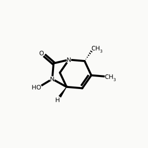 CC1=C[C@H]2CN(C(=O)N2O)[C@@H]1C